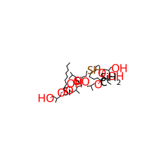 CCCCCCCC[Si](C)(OCC(C)CO)OCC(C)CC[Si](CCCS)(OCC(C)CO)OCC(C)COC(CCCCCCC)(CC(C)CO)[SiH2]OCC(C)CO